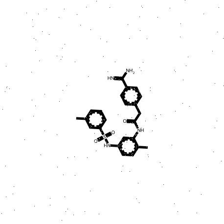 Cc1cccc(S(=O)(=O)Nc2ccc(C)c(NC(=O)Cc3ccc(C(=N)N)cc3)c2)c1